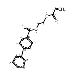 C=CC(=O)OCCOC(=O)c1ccc(-c2ccccc2)cc1